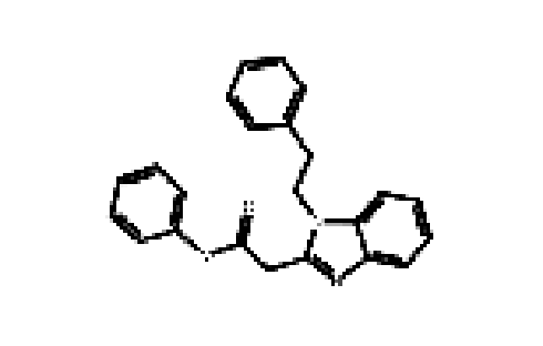 O=C(Cc1nc2ccccc2n1CCc1ccccc1)Nc1ccccc1